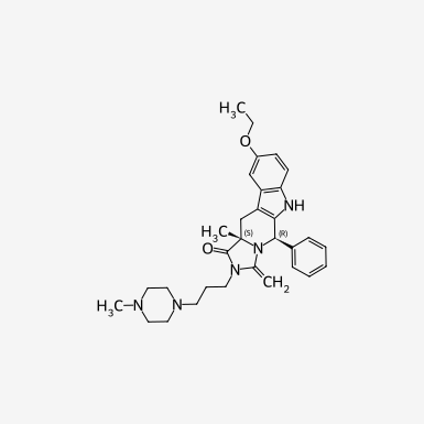 C=C1N(CCCN2CCN(C)CC2)C(=O)[C@]2(C)Cc3c([nH]c4ccc(OCC)cc34)[C@@H](c3ccccc3)N12